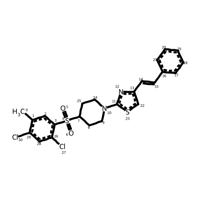 Cc1cc(S(=O)(=O)C2CCN(c3nc(C=Cc4ccccc4)cs3)CC2)c(Cl)cc1Cl